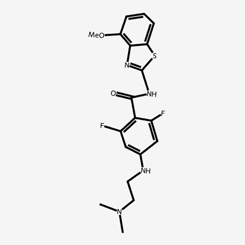 COc1cccc2sc(NC(=O)c3c(F)cc(NCCN(C)C)cc3F)nc12